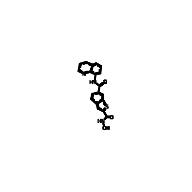 O=C(Nc1cccc2cccnc12)c1ccc2cc(C(=O)NO)sc2c1